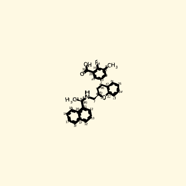 Cc1cc([C@H]2C[C@H](CN[C@H](C)c3cccc4ccccc34)Oc3ccccc32)cc(C(=O)O)c1F